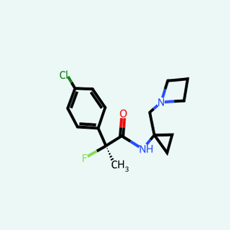 C[C@@](F)(C(=O)NC1(CN2CCC2)CC1)c1ccc(Cl)cc1